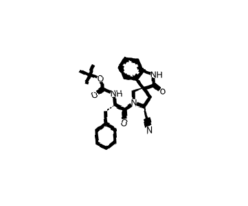 CC(C)(C)OC(=O)N[C@@H](CC1CCCCC1)C(=O)N1C[C@]2(C[C@H]1C#N)C(=O)Nc1ccccc12